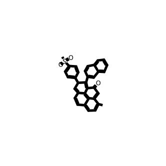 Cc1ccc2ccc3c4c2c1=CC(=O)C4=C(c1ccc2ccccc2c1)C(c1ccc(S(C)(=O)=O)cc1)C=3